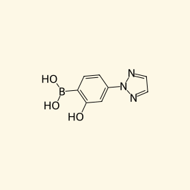 OB(O)c1ccc(-n2nccn2)cc1O